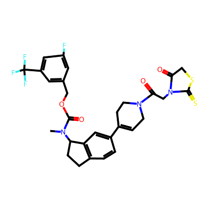 CN(C(=O)OCc1cc(F)cc(C(F)(F)F)c1)C1CCc2ccc(C3=CCN(C(=O)CN4C(=O)CSC4=S)CC3)cc21